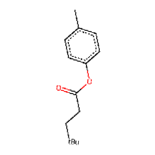 Cc1ccc(OC(=O)CCC(C)(C)C)cc1